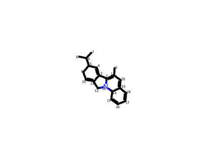 CC1=C2C3=CC(C(C)C)CC=C3CN2C2C=CC=CC2=C1